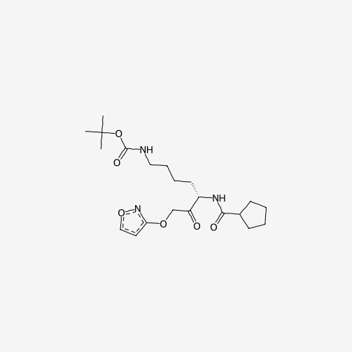 CC(C)(C)OC(=O)NCCCC[C@H](NC(=O)C1CCCC1)C(=O)COc1ccon1